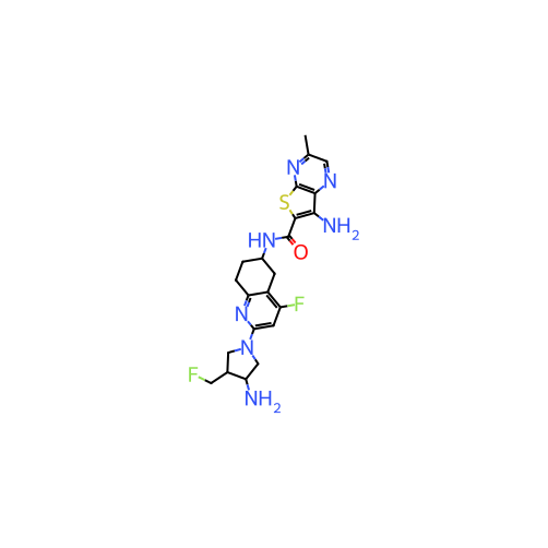 Cc1cnc2c(N)c(C(=O)NC3CCc4nc(N5CC(N)C(CF)C5)cc(F)c4C3)sc2n1